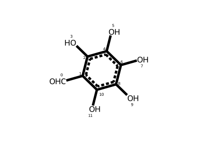 O=Cc1c(O)c(O)c(O)c(O)c1O